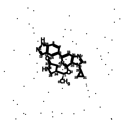 C[C@@H](Oc1nc(-c2ccc3[nH]ncc3c2)cc2ncn(C3CC3)c12)[C@H]1CNC(=O)C1